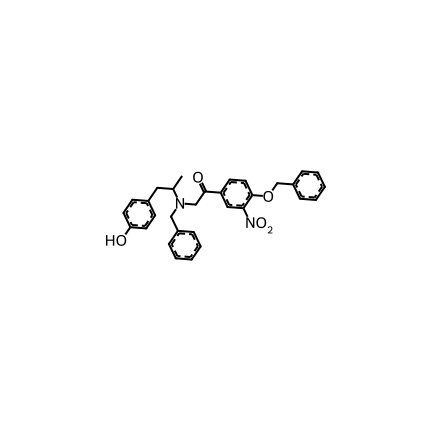 CC(Cc1ccc(O)cc1)N(CC(=O)c1ccc(OCc2ccccc2)c([N+](=O)[O-])c1)Cc1ccccc1